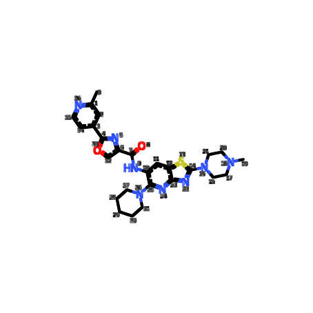 Cc1cc(-c2nc(C(=O)Nc3cc4sc(N5CCN(C)CC5)nc4nc3N3CCCCC3)co2)ccn1